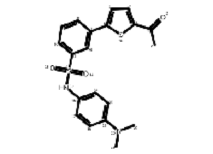 CC(=O)c1ccc(-c2cccc(S(=O)(=O)Nc3ccc(N(C)C)cc3)c2)s1